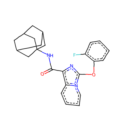 O=C(NC12CC3CC(CC(C3)C1)C2)c1nc(Oc2ccccc2F)n2ccccc12